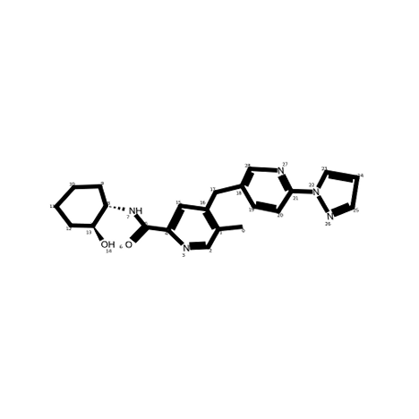 Cc1cnc(C(=O)N[C@H]2CCCC[C@@H]2O)cc1Cc1ccc(-n2cccn2)nc1